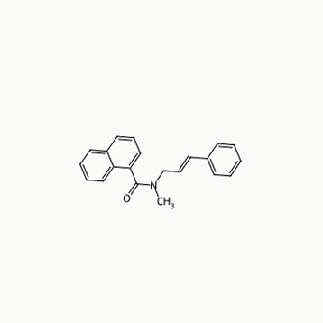 CN(CC=Cc1ccccc1)C(=O)c1cccc2ccccc12